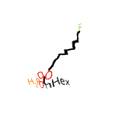 CCCCCCC(OP)C(=O)OCCCCCCCCCCCCF